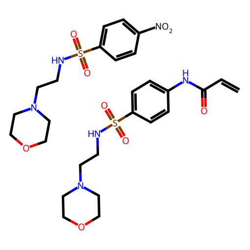 C=CC(=O)Nc1ccc(S(=O)(=O)NCCN2CCOCC2)cc1.O=[N+]([O-])c1ccc(S(=O)(=O)NCCN2CCOCC2)cc1